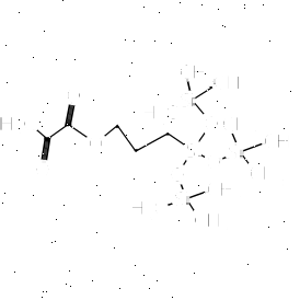 CC(=O)C(=O)OCCC[Si](O[Si](C)(C)C)(O[Si](C)(C)C)O[Si](C)(C)C